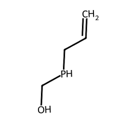 C=CCPCO